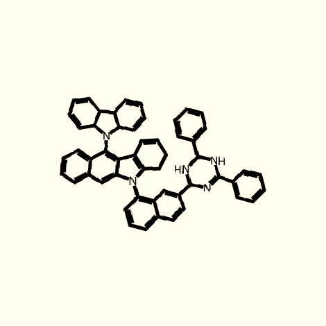 C1=CC2C3C=CC=CC3N(c3c4ccccc4cc4c3c3c(n4-c4cccc5ccc(C6N=C(c7ccccc7)NC(c7ccccc7)N6)cc45)CCC=C3)C2C=C1